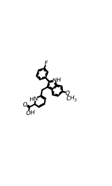 COc1ccc2c(CC3=CC=CC(C(=O)O)N3)c(-c3cccc(F)c3)[nH]c2c1